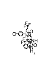 NC(=O)C1NC(Cn2nc(-c3ccc(Cl)cc3)n(CCC(F)(F)F)c2=O)=NN1c1ncccc1C(F)(F)F